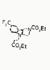 CCOC(=O)CCn1c2c(c3cc(C(F)(F)F)ccc31)CN(C(=O)OCC)CC2